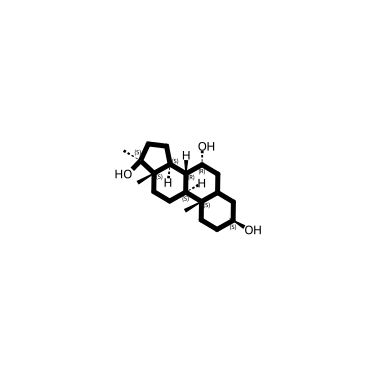 C[C@]12CC[C@H](O)CC1C[C@@H](O)[C@@H]1[C@@H]2CC[C@@]2(C)[C@H]1CC[C@]2(C)O